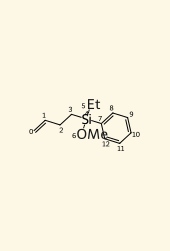 C=CCC[Si](CC)(OC)c1ccccc1